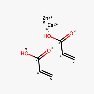 C=CC(=O)O.C=CC(=O)O.[Ca+2].[Zn+2]